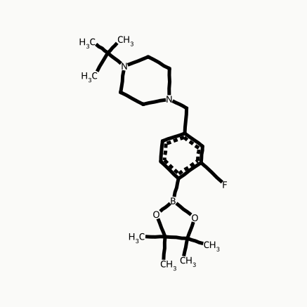 CC(C)(C)N1CCN(Cc2ccc(B3OC(C)(C)C(C)(C)O3)c(F)c2)CC1